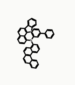 c1ccc(-c2cccc(N(c3cccc4c3ccc3ccc5ccccc5c34)c3cccc4ccc5c6ccccc6sc5c34)c2)cc1